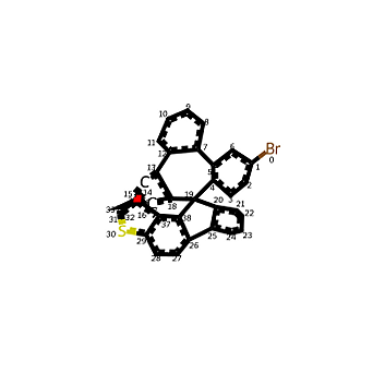 Brc1ccc2c(c1)-c1ccccc1-c1ccccc1C21c2ccccc2-c2ccc3sc4ccccc4c3c21